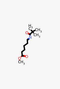 COC(=O)CCCCC=NC(=O)C(C)(C)C